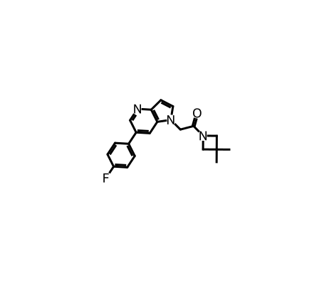 CC1(C)CN(C(=O)Cn2ccc3ncc(-c4ccc(F)cc4)cc32)C1